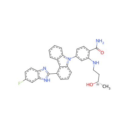 C[C@H](O)CCNc1cc(-n2c3ccccc3c3c(-c4nc5ccc(F)cc5[nH]4)cccc32)ccc1C(N)=O